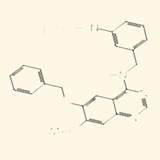 COc1cc2ncnc(NCc3cccc(N)c3)c2cc1OCc1ccccc1.Cl